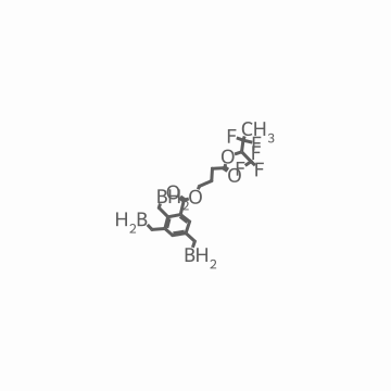 BCc1cc(CB)c(CB)c(C(=O)OCCCC(=O)OC(C(C)(F)F)C(F)(F)F)c1